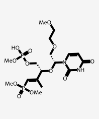 COCCOC[C@@H](O[C@@H](COP(=O)(O)OC)/C(C)=C/P(=O)(OC)OC)n1ccc(=O)[nH]c1=O